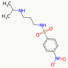 CC(C)NCCCNS(=O)(=O)c1ccc([N+](=O)[O-])cc1